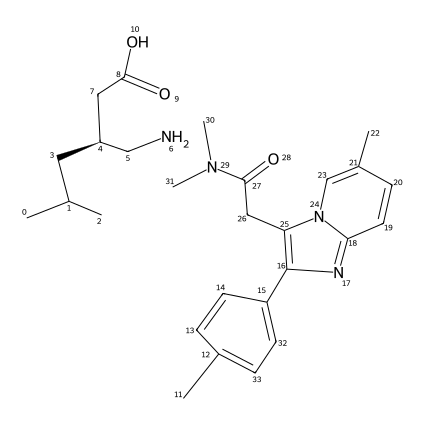 CC(C)C[C@H](CN)CC(=O)O.Cc1ccc(-c2nc3ccc(C)cn3c2CC(=O)N(C)C)cc1